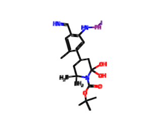 BC1(B)CC(c2cc(NPI)c(C=N)cc2C)CC(O)(O)N1C(=O)OC(C)(C)C